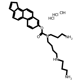 Cl.Cl.Cl.NCCCNCCCCN(CCCN)C(=O)Oc1ccc2c(ccc3c4c(ccc32)C=CC4)c1